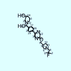 CC(C)(F)CN1CCC(COc2cnc(-c3ccc([C@@H](O)N4CCC[C@H](O)C4)cc3)cn2)CC1